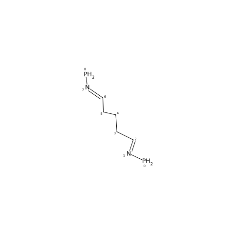 P/N=C/CCC/C=N/P